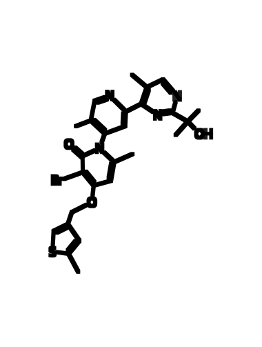 Cc1cc(COc2cc(C)n(-c3cc(-c4nc(C(C)(C)O)ncc4C)ncc3C)c(=O)c2Br)cs1